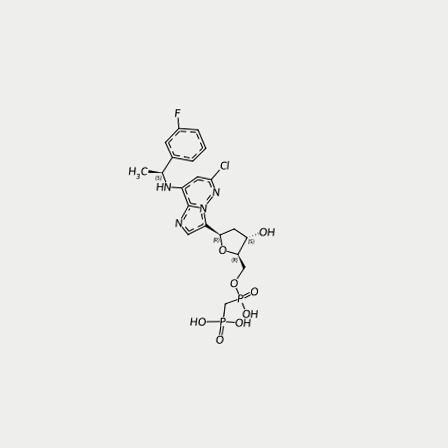 C[C@H](Nc1cc(Cl)nn2c([C@H]3C[C@H](O)[C@@H](COP(=O)(O)CP(=O)(O)O)O3)cnc12)c1cccc(F)c1